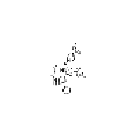 CCOC(=O)N1CCN(C(=O)[C@H](CCC(=O)OC(C)(C)C)NC(=O)c2cc(N[C@H](C)COC)nc(-c3ccccc3)n2)CC1